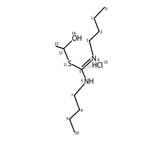 CCCC/N=C(/NCCCC)SC(C)O.Cl